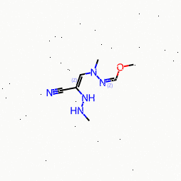 CNN/C(C#N)=C\N(C)/N=C\OC